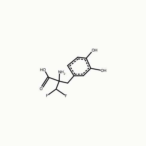 NC(Cc1ccc(O)c(O)c1)(C(=O)O)C(F)F